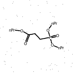 CCCOC(=O)CCP(=O)(OCCC)OCCC